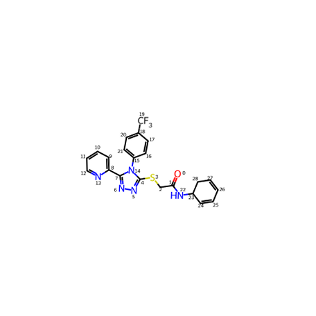 O=C(CSc1nnc(-c2ccccn2)n1-c1ccc(C(F)(F)F)cc1)NC1C=CC=CC1